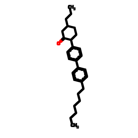 CCCCCCCc1ccc(-c2ccc(C3CCC(CCC)CC3=O)cc2)cc1